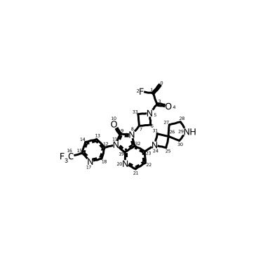 C=C(F)C(=O)N1CC(n2c(=O)n(-c3ccc(C(F)(F)F)nc3)c3nccc(N4CC5(CCNC5)C4)c32)C1